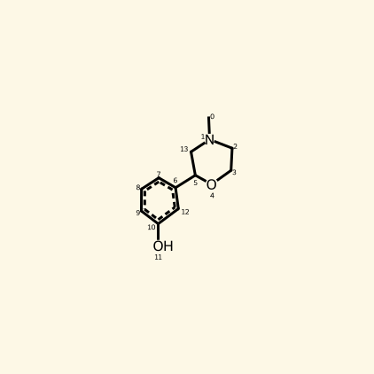 CN1CCOC(c2cccc(O)c2)C1